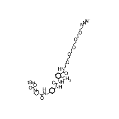 Cc1c(NC(=O)Nc2ccc(CNC(=O)[C@H]3CCN(C(=O)OC(C)(C)C)C3)cc2)cccc1C(=O)NCCOCCOCCOCCOCCOCCN=[N+]=[N-]